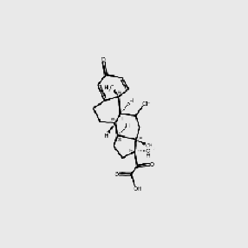 C[C@]12C=CC(=O)C=C1CC[C@@H]1[C@@H]2C(O)C[C@@]2(C)[C@H]1CC[C@]2(O)C(=O)C(=O)O